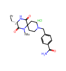 CCCCN1C(=O)[C@H](CC(C)C)NC(=O)C12CCN(Cc1ccc(C(N)=O)cc1)CC2.Cl